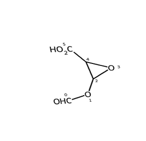 O=COC1OC1C(=O)O